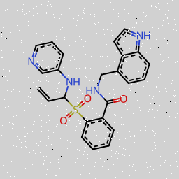 C=CC(Nc1cccnc1)S(=O)(=O)c1ccccc1C(=O)NCc1cccc2[nH]ccc12